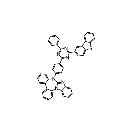 c1ccc(-c2nc(-c3ccc(N4c5ccccc5-c5ccccc5-n5c4nc4ccccc45)cc3)nc(-c3ccc4sc5ccccc5c4c3)n2)cc1